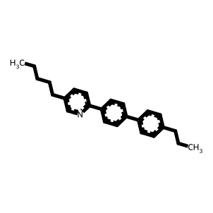 CCCCCc1ccc(-c2ccc(-c3ccc(CCC)cc3)cc2)nc1